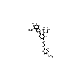 Cc1c(F)ccc2[nH]c(-c3ccc(OCCCC4CCN(C)CC4)cc3C3OCCCO3)nc12